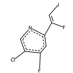 F/C(=C\I)c1cc(F)c(Cl)cn1